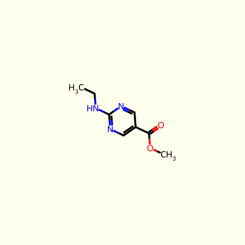 CCNc1ncc(C(=O)OC)cn1